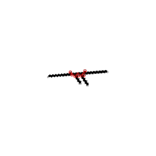 CCCCCCCCCCCCCCCC(=O)OCC(COCC(COC(=O)CCCCCCCCCCCCCCC)OC(=O)CCCCCCC)OC(=O)CCCCC